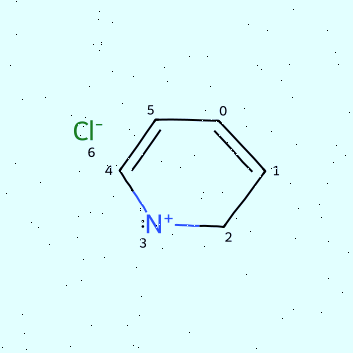 C1=CC[N+]C=C1.[Cl-]